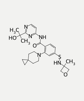 CC1(NSc2ccc(C(=O)Nc3ccnc(C(C)(C)O)n3)c(N3CCC4(CC3)CC4)c2)COC1